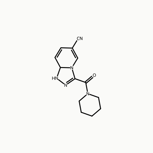 N#CC1=CN2C(C(=O)N3CCCCC3)=NNC2C=C1